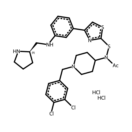 CC(=O)N(Sc1nc(-c2cccc(NC[C@H]3CCCN3)c2)cs1)C1CCN(Cc2ccc(Cl)c(Cl)c2)CC1.Cl.Cl